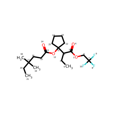 CCC(C(=O)OCC(F)(F)F)C1(OC(=O)CCC(C)(C)CC)CCCC1